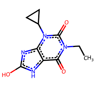 CCn1c(=O)c2[nH]c(O)nc2n(C2CC2)c1=O